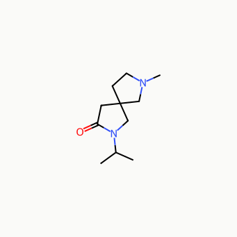 CC(C)N1CC2(CCN(C)C2)CC1=O